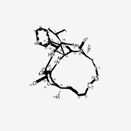 CC(C)[C@H]1NC(=O)[C@H]2CSSCC/C=C/[C@H](CC(=O)N[C@H](Cc3cccnc3)C(=O)N2)OC(=O)CNC1=O